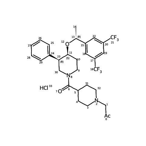 CC(=O)CN1CCC(C(=O)N2CC[C@H](O[C@H](C)c3cc(C(F)(F)F)cc(C(F)(F)F)c3)[C@H](c3ccccc3)C2)CC1.Cl